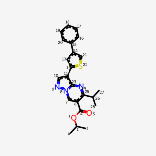 CC(C)OC(=O)c1cn2ncc(-c3cc(-c4ccccc4)cs3)c2nc1C(C)C